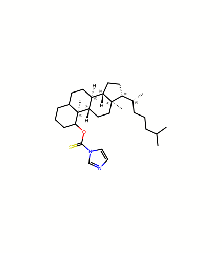 CC(C)CCC[C@@H](C)[C@H]1CC[C@H]2[C@@H]3CCC4CCCC(OC(=S)n5ccnc5)[C@]4(C)[C@H]3CC[C@]12C